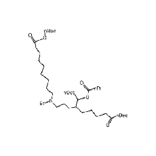 CCCCCCCCCCC(=O)CCCCC(CCCN(CC)CCCCCCCCC(=O)OCCCCCCCCC)C(CCCCCCCC)OC(=O)CCC